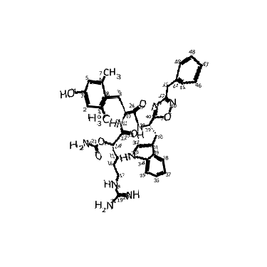 Cc1cc(O)cc(C)c1C[C@H](NC(=O)[C@@H](CCCNC(=N)N)OC(N)=O)C(=O)N[C@@H](Cc1c[nH]c2ccccc12)c1nc(Cc2ccccc2)no1